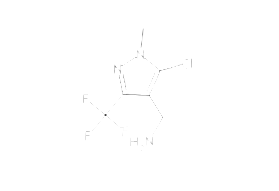 Cn1nc(C(F)(F)F)c(CN)c1Cl